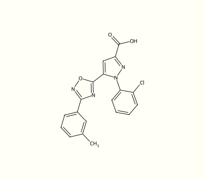 Cc1cccc(-c2noc(-c3cc(C(=O)O)nn3-c3ccccc3Cl)n2)c1